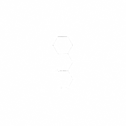 CCCCCCC([NH])CC1CCCCC1